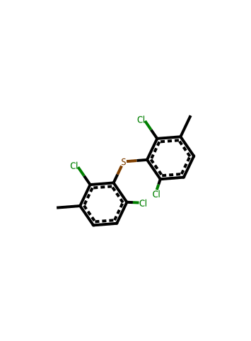 Cc1ccc(Cl)c(Sc2c(Cl)ccc(C)c2Cl)c1Cl